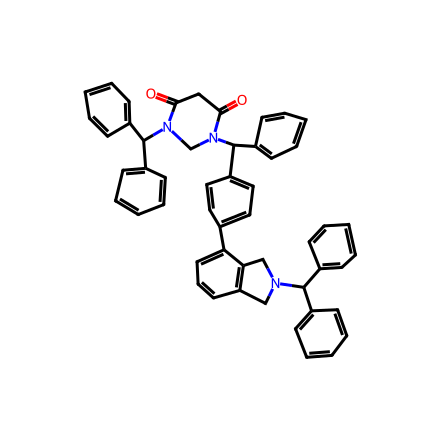 O=C1CC(=O)N(C(c2ccccc2)c2ccc(-c3cccc4c3CN(C(c3ccccc3)c3ccccc3)C4)cc2)CN1C(c1ccccc1)c1ccccc1